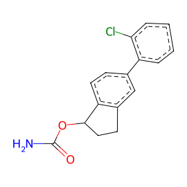 NC(=O)OC1CCc2cc(-c3ccccc3Cl)ccc21